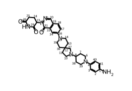 Nc1ccc(N2CCC(N3CCC4(CCN(c5ccc6cnn(C7CCC(=O)NC7=O)c(=O)c6c5)CC4)C3)CC2)cc1